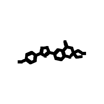 CCC1(CO)CC(=O)c2cc(-c3nc(-c4ccc(O)cc4)no3)ccc2O1